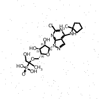 CC1(Nc2nc(Cl)nc3c2cnn3[C@@H]2O[C@H](COC(C)(CO)P(=O)(O)O)[C@@H](O)[C@H]2O)CCCC1